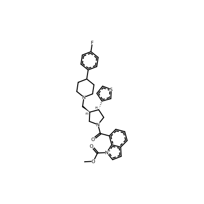 COC(=O)n1ccc2cccc(C(=O)N3C[C@@H](CN4CCC(c5ccc(F)cc5)CC4)[C@H](c4ccsc4)C3)c21